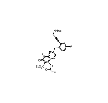 CCOC(=O)c1c(OC(=O)C(C)(C)C)c2ncc(Cc3ccc(F)cc3C#CCNC(C)=O)cc2n(C)c1=O